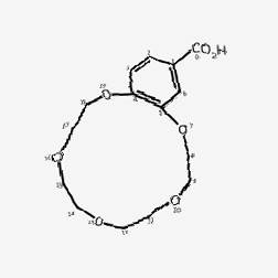 O=C(O)c1ccc2c(c1)OCCOCCOCCOCCO2